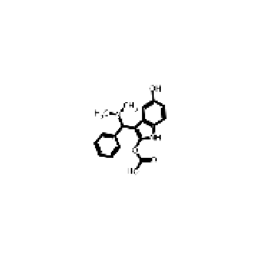 CN(C)C(c1ccccc1)c1c(OC(=O)O)[nH]c2ccc(O)cc12